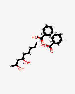 CCCCCC(O)CC(C)O.O=C(O)c1ccccc1.O=C(O)c1ccccc1